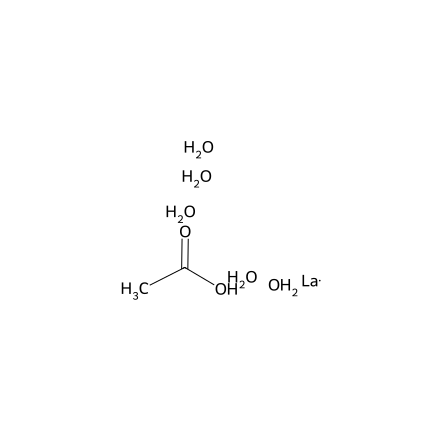 CC(=O)O.O.O.O.O.O.[La]